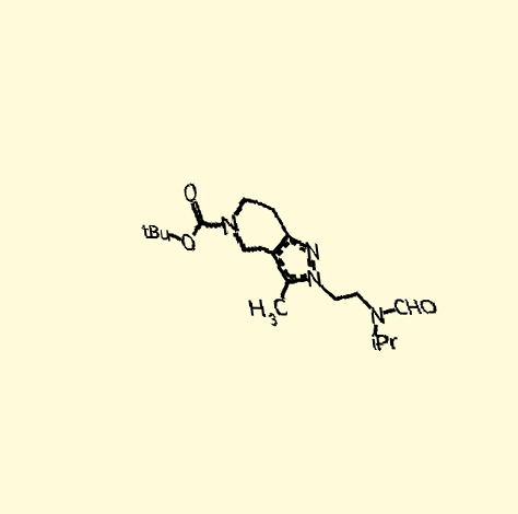 Cc1c2c(nn1CCN(C=O)C(C)C)CCN(C(=O)OC(C)(C)C)C2